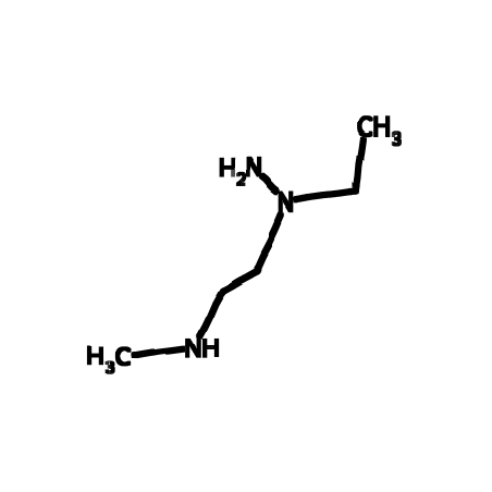 CCN(N)CCNC